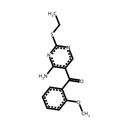 CCSc1ncc(C(=O)c2ccccc2OC)c(N)n1